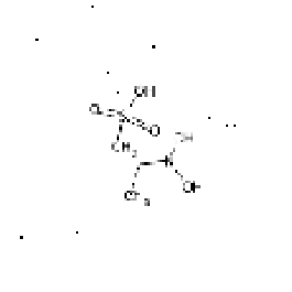 CCN(O)O.CS(=O)(=O)O